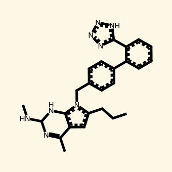 CCCc1cc2c(n1Cc1ccc(-c3ccccc3-c3nnn[nH]3)cc1)NC(NC)N=C2C